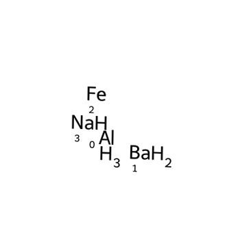 [AlH3].[BaH2].[Fe].[NaH]